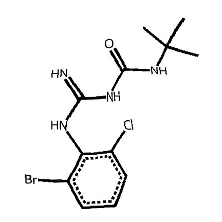 CC(C)(C)NC(=O)NC(=N)Nc1c(Cl)cccc1Br